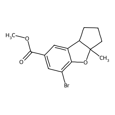 COC(=O)c1cc(Br)c2c(c1)C1CCCC1(C)O2